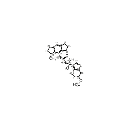 CO[C@H]1COc2c(S(=N)(=O)NC(=O)Nc3c4c(cc5c3[C@H](C)CC5)CCC4)cnn2C1